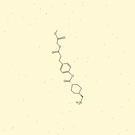 COC(=O)COC(=O)CCc1ccc(OC(=O)[C@H]2CC[C@H](CN)CC2)cc1